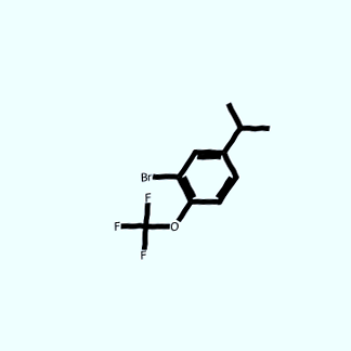 C[C](C)c1ccc(OC(F)(F)F)c(Br)c1